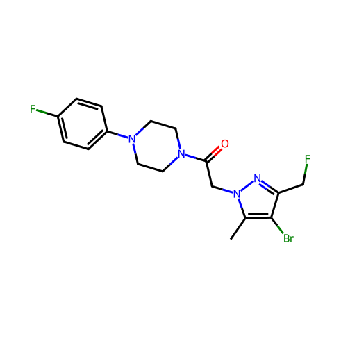 Cc1c(Br)c(CF)nn1CC(=O)N1CCN(c2ccc(F)cc2)CC1